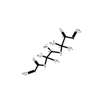 C=CC(=O)OC(C)(C)[C@@H](CCC)OC(C)(C)C(=O)C=C